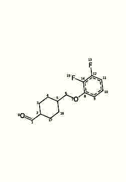 O=CC1CCC(COc2cccc(F)c2F)CC1